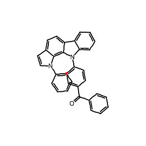 O=C(c1ccccc1)c1ccc(-n2c3ccccc3c3ccc4ccn(-c5ccccc5)c4c32)cc1